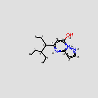 CCC(CC)C(CC)c1cc(O)n2nccc2n1